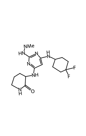 CNNc1nc(NC2CCC(F)(F)CC2)cc(NC2CCCNC2=O)n1